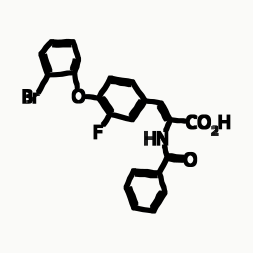 O=C(O)C(=Cc1ccc(Oc2ccccc2Br)c(F)c1)NC(=O)c1ccccc1